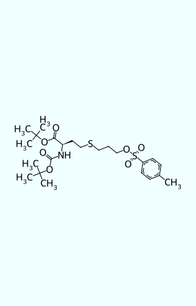 Cc1ccc(S(=O)(=O)OCCCSCC[C@@H](NC(=O)OC(C)(C)C)C(=O)OC(C)(C)C)cc1